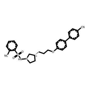 N#Cc1ccc(-c2ccc(OCCC[C@@H]3CCN(NS(=O)(=O)c4ccccc4C#N)C3)cc2)cc1